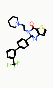 O=c1c2sccc2nc(-c2ccc(-c3cccc(C(F)(F)F)c3)cc2)n1CCN1CCCCC1